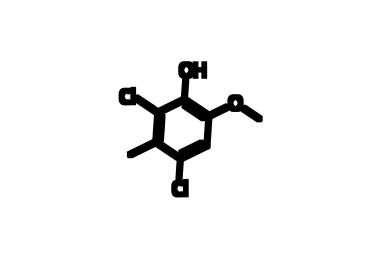 COc1cc(Cl)c(C)c(Cl)c1O